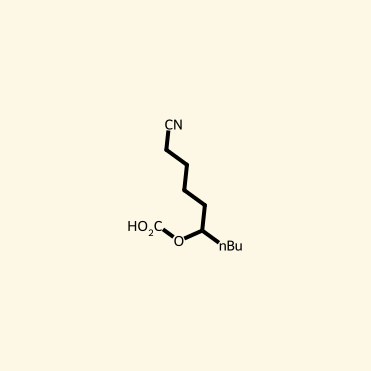 CCCCC(CCCCC#N)OC(=O)O